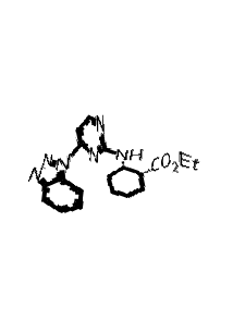 CCOC(=O)[C@@H]1CCCC[C@@H]1Nc1nccc(-n2nnc3ccccc32)n1